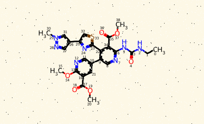 CCNC(=O)Nc1ncc(-c2cnc(OC)c(C(=O)OC)c2)c(-c2nc(-c3cnn(C)c3)cs2)c1C(=O)OC